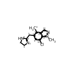 Cc1c(CC2=NCCN2)cc(Cl)c2c1cnn2C